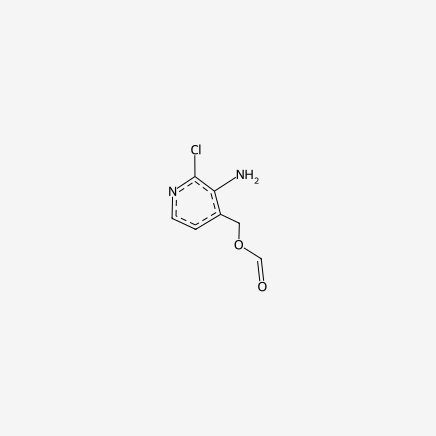 Nc1c(COC=O)ccnc1Cl